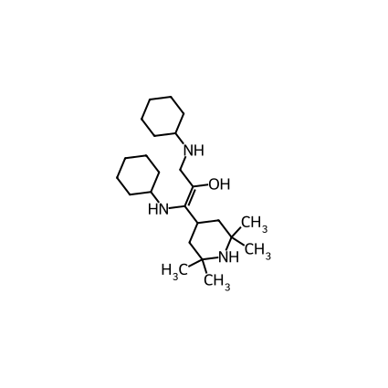 CC1(C)CC(C(NC2CCCCC2)=C(O)CNC2CCCCC2)CC(C)(C)N1